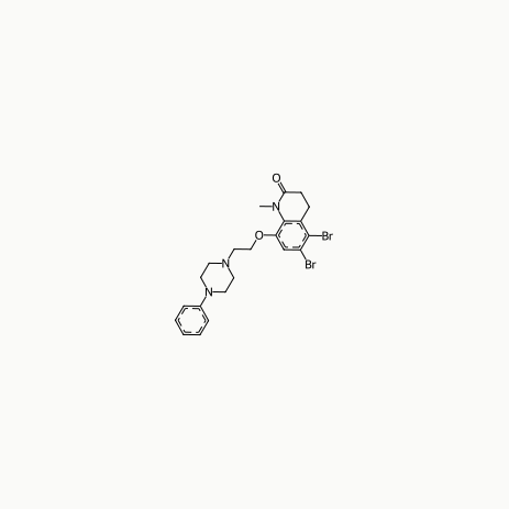 CN1C(=O)CCc2c(Br)c(Br)cc(OCCN3CCN(c4ccccc4)CC3)c21